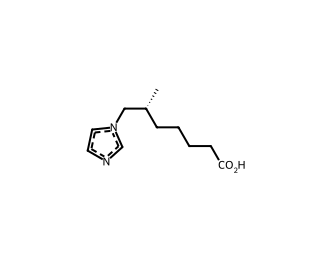 C[C@H](CCCCC(=O)O)Cn1ccnc1